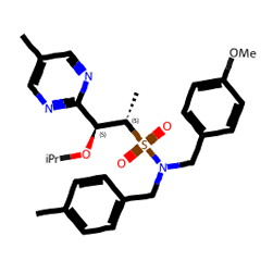 COc1ccc(CN(Cc2ccc(C)cc2)S(=O)(=O)[C@@H](C)[C@@H](OC(C)C)c2ncc(C)cn2)cc1